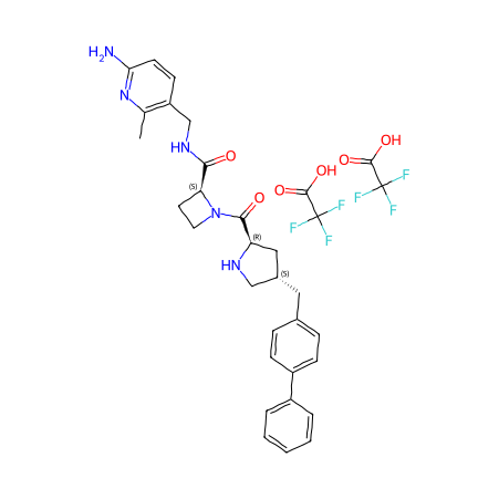 Cc1nc(N)ccc1CNC(=O)[C@@H]1CCN1C(=O)[C@H]1C[C@H](Cc2ccc(-c3ccccc3)cc2)CN1.O=C(O)C(F)(F)F.O=C(O)C(F)(F)F